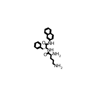 NCCC[C@@H](N)C(=O)N[C@H](Cc1ccccc1)C(=O)Nc1ccc2ccccc2c1